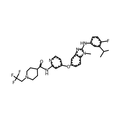 CC(C)c1cc(Nc2nc3cc(Oc4ccnc(NC(=O)C5CCN(CC(F)(F)F)CC5)c4)ccc3n2C)ccc1F